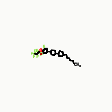 CCCCCCCC1CCC(C2CCC(c3cc(F)c(OC(F)(F)C(F)C(F)(F)F)c(F)c3)CC2)CC1